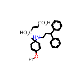 CCOC1=CCC(C)(NCCC(c2ccccc2)c2ccccc2)C=C1.O=C(O)C=CC(=O)O